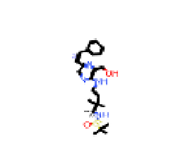 C[C@@H](N[S+]([O-])C(C)(C)C)C(C)(C)CCNc1ncc(/C=C\c2ccccc2)nc1CO